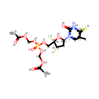 Cc1cn([C@H]2C[C@H](F)[C@@](F)(COP(=O)(OCOC(=O)C(C)(C)C)OCOC(=O)C(C)(C)C)O2)c(=O)[nH]c1=S